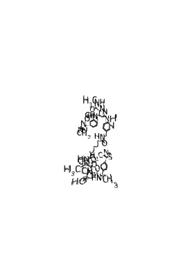 CNC(=O)c1nnc(Nc2ccc(CNC(=O)CCCCCC(=O)N[C@H](C(=O)N3C[C@H](O)C[C@H]3C(=O)N[C@@H](C)c3ccc(-c4scnc4C)cc3)C(C)(C)C)cn2)cc1Nc1cccc(-c2ncn(C)n2)c1OC